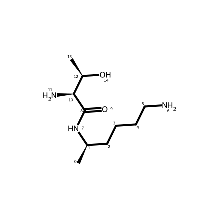 C[C@H](CCCCN)NC(=O)[C@@H](N)[C@@H](C)O